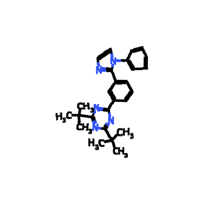 CC(C)(C)c1nc(-c2cccc(-c3nccn3-c3ccccc3)c2)nc(C(C)(C)C)n1